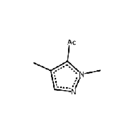 CC(=O)c1c(C)cnn1C